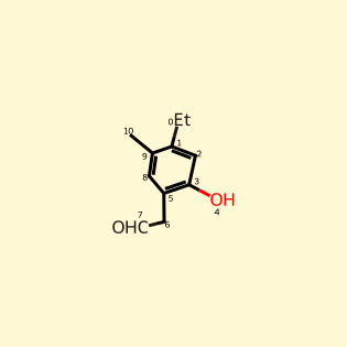 CCc1cc(O)c(CC=O)cc1C